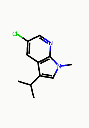 CC(C)c1cn(C)c2ncc(Cl)cc12